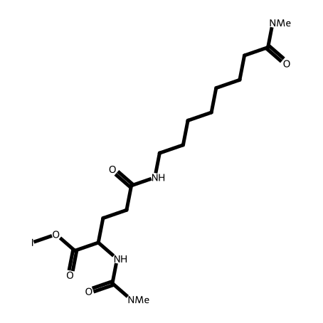 CNC(=O)CCCCCCCNC(=O)CCC(NC(=O)NC)C(=O)OI